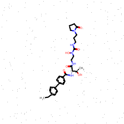 CCc1ccc(-c2ccc(C(=O)N[C@H](C(=O)NCCN(O)C(=O)NCCCN3CCCC3=O)[C@@H](C)O)cc2)cc1